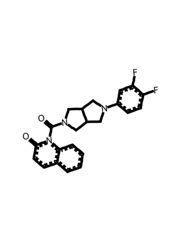 O=C(N1CC2CN(c3ccc(F)c(F)c3)CC2C1)n1c(=O)ccc2ccccc21